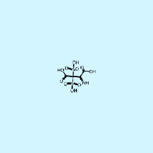 N=C(C(=O)O)C(C(=O)O)(S(=O)(=O)O)S(=O)(=O)O